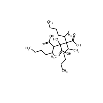 CCCCC(C)C(C(=O)O)C(O)(C(=O)O)C(C(=O)O)(C(C)CCCC)C(C)CCCC